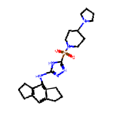 O=S(=O)(c1nnc(Nc2c3c(cc4c2CCC4)CCC3)[nH]1)N1CCC(N2CCCC2)CC1